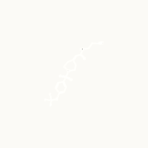 N#CCCNC(=O)C=C1CCN(S(=O)(=O)c2ccc(OC(F)(F)F)cc2)CC1